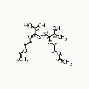 C=COCCOC(SSC(OCCOC=C)C(C)O)C(C)O